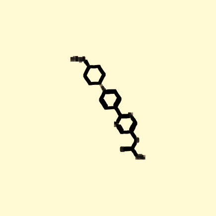 CCCCCCC[C@H]1CC[C@H](c2ccc(-c3ncc(OC(=O)CCCC)cn3)cc2)CC1